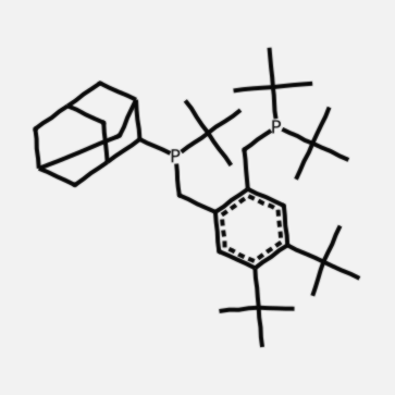 CC(C)(C)c1cc(CP(C2C3CC4CC(C3)CC2C4)C(C)(C)C)c(CP(C(C)(C)C)C(C)(C)C)cc1C(C)(C)C